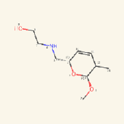 CO[C@H]1O[C@H](CNCCO)C=CC1C